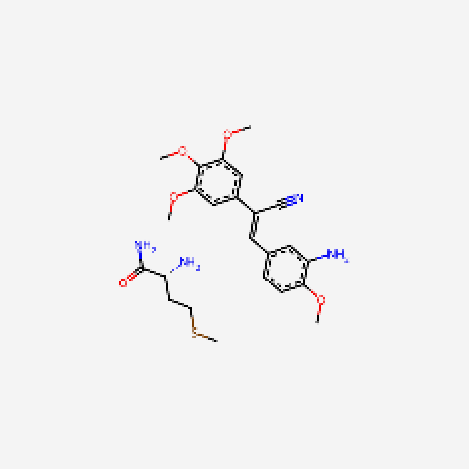 COc1ccc(C=C(C#N)c2cc(OC)c(OC)c(OC)c2)cc1N.CSCC[C@@H](N)C(N)=O